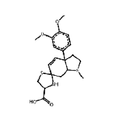 COc1ccc(C23C=CC4(CC2N(C)CC3)NC(C(=O)O)CS4)cc1OC